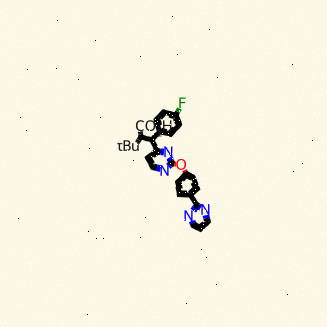 CC(C)(C)C(C(=O)O)C(c1ccc(F)cc1)c1ccnc(Oc2ccc(-c3ncccn3)cc2)n1